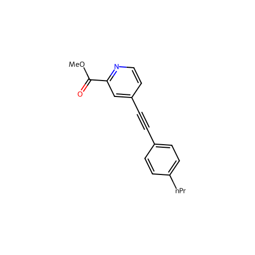 CCCc1ccc(C#Cc2ccnc(C(=O)OC)c2)cc1